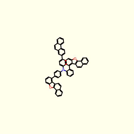 c1ccc(N(c2ccc(-c3ccc4c(ccc5ccccc54)c3)cc2)c2ccc(-c3cccc4oc5c6ccccc6ccc5c34)cc2)c(-c2cccc3oc4c5ccccc5ccc4c23)c1